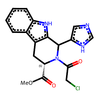 COC(=O)[C@@H]1Cc2c([nH]c3ccccc23)C(c2cnc[nH]2)N1C(=O)CCl